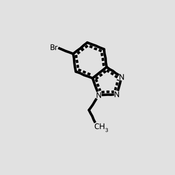 CCn1nnc2ccc(Br)cc21